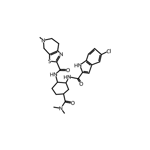 CN1CCc2nc(C(=O)NC3CCC(C(=O)N(C)C)CC3NC(=O)c3cc4cc(Cl)ccc4[nH]3)sc2C1